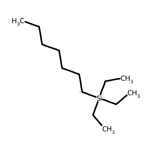 CCCCCC[CH][Si](CC)(CC)CC